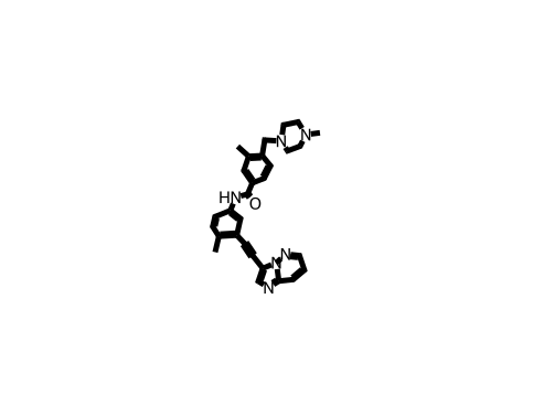 Cc1ccc(NC(=O)c2ccc(CN3CCN(C)CC3)c(C)c2)cc1C#Cc1cnc2cccnn12